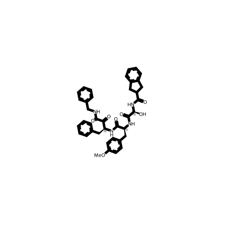 COc1ccc(C[C@H](NC(=O)[C@H](O)NC(=O)C2Cc3ccccc3C2)C(=O)N[C@@H](Cc2ccccc2)C(=O)C(=O)NCc2ccccc2)cc1